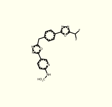 O=C(O)Nc1ccc(-c2nnc(Cc3ccc(-c4nnc(C(F)F)o4)cc3)o2)cn1